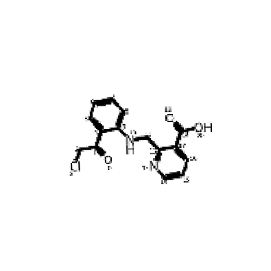 O=C(CCl)c1ccccc1NCc1ncccc1C(=O)O